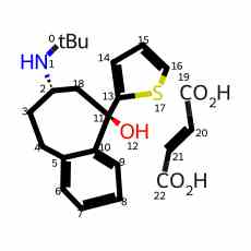 CC(C)(C)N[C@H]1CCc2ccccc2[C@@](O)(c2cccs2)C1.O=C(O)/C=C/C(=O)O